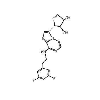 O[C@@H]1[C@H](O)CS[C@H]1c1cnc2c(NCCc3cc(F)cc(F)c3)nccn12